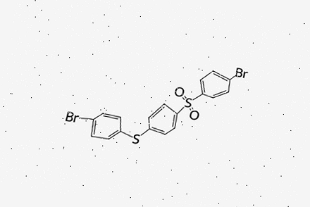 O=S(=O)(c1ccc(Br)cc1)c1ccc(Sc2ccc(Br)cc2)cc1